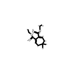 CCOC(=O)C1=CCC(C)(C)CC=C1C(=O)OCC